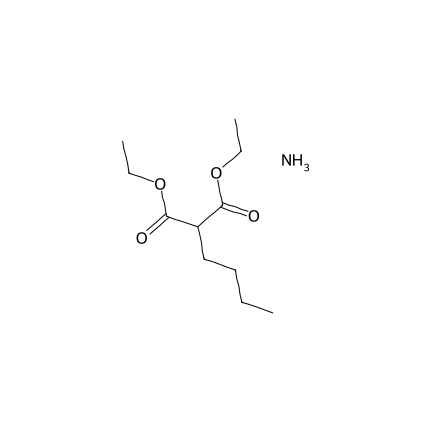 CCCCC(C(=O)OCC)C(=O)OCC.N